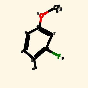 Cc1ccc(OC(F)(F)F)cc1F